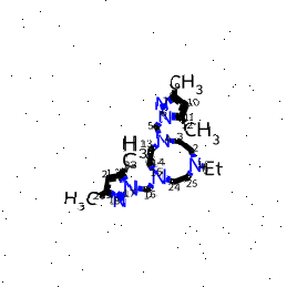 CCN1CCN(Cn2nc(C)cc2C)CCN(Cn2nc(C)cc2C)CC1